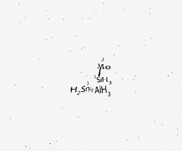 [AlH3].[SiH3][Mo].[SnH2]